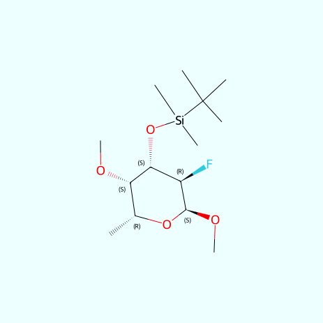 CO[C@H]1O[C@H](C)[C@H](OC)[C@H](O[Si](C)(C)C(C)(C)C)[C@H]1F